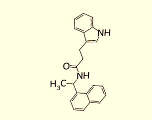 CC(NC(=O)CCc1c[nH]c2ccccc12)c1cccc2ccccc12